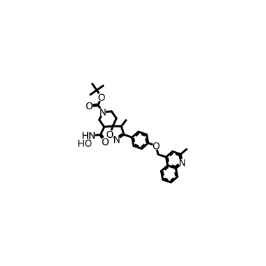 Cc1cc(COc2ccc(C3=NOC4(CCN(C(=O)OC(C)(C)C)CC4C(=O)NO)C3C)cc2)c2ccccc2n1